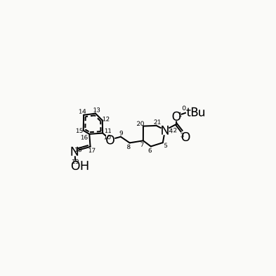 CC(C)(C)OC(=O)N1CCC(CCOc2ccccc2C=NO)CC1